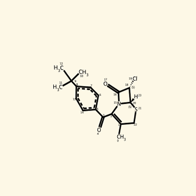 CC1=C(C(=O)c2ccc(C(C)(C)C)cc2)N2C(=O)[C@H](Cl)[C@@H]2SC1